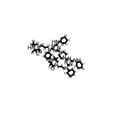 CC1(C)CN(CCCN(c2nc(NC3CCCCC3)nc(N3CCN(c4nc(NC5CCCCC5)nc(N(CCCN5CC(C)(C)NC(C)(C)C5=O)C5CCCCC5)n4)CC3)n2)C2CCCCC2)C(=O)C(C)(C)N1